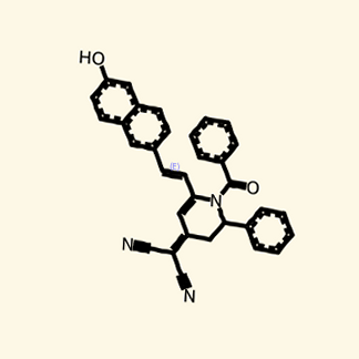 N#CC(C#N)=C1C=C(/C=C/c2ccc3cc(O)ccc3c2)N(C(=O)c2ccccc2)C(c2ccccc2)C1